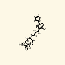 Cc1oc(-c2cccs2)nc1CCCC[C@H]1CO[C@@](C)(C(=O)O)OC1